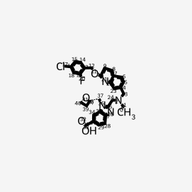 CCN(Cc1ccc2ccc(OCc3ccc(Cl)cc3F)nc2c1)Cc1nc2ccc(C(=O)O)cc2n1C[C@@H]1CCO1